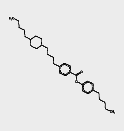 CCCCCc1ccc(OC(=O)c2ccc(CCCCC3CCC(CCCCC)CC3)cc2)cc1